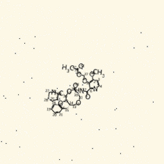 COc1ccnc(C(=O)N[C@H]2COC[C@H](Cc3ccccc3)[C@@H](OC3CCCCC3)[C@H](C)OC2=O)c1OCOC(C)=O